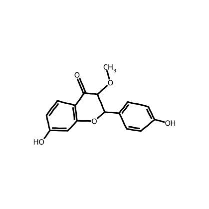 COC1C(=O)c2ccc(O)cc2OC1c1ccc(O)cc1